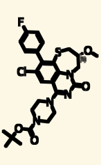 CO[C@H]1CSc2c(-c3ccc(F)cc3)c(Cl)cc3c(N4CCN(C(=O)OC(C)(C)C)CC4)nc(=O)n(c23)C1